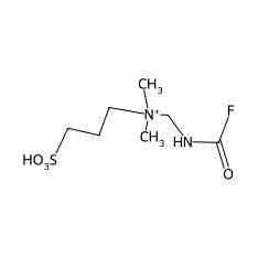 C[N+](C)(CCCS(=O)(=O)O)CNC(=O)F